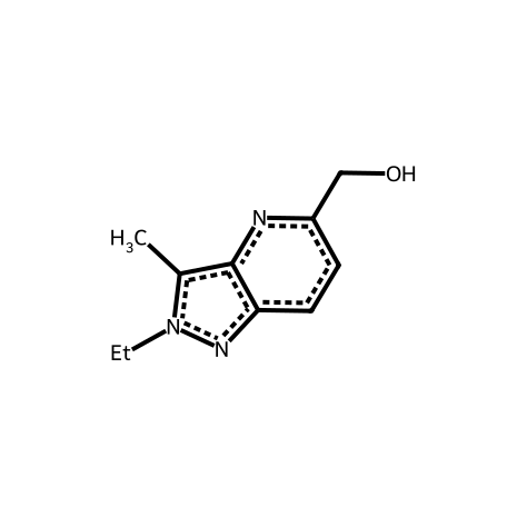 CCn1nc2ccc(CO)nc2c1C